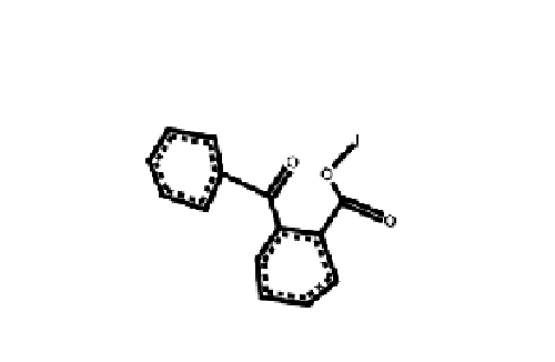 O=C(OI)c1ccccc1C(=O)c1ccccc1